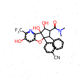 CN(C)C(=O)C1C(O)C2(O)c3nc(C(F)(F)F)c(O)cc3OC2(c2ccc(C#N)cc2)C1c1ccccc1